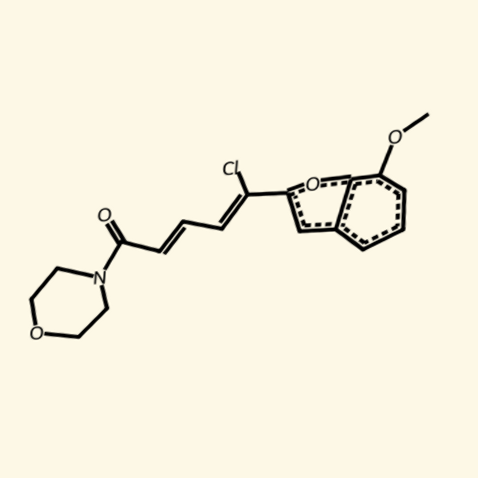 COc1cccc2cc(/C(Cl)=C/C=C/C(=O)N3CCOCC3)oc12